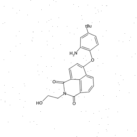 CC(C)(C)c1ccc(Oc2ccc3c4c(cccc24)C(=O)N(CCO)C3=O)c(N)c1